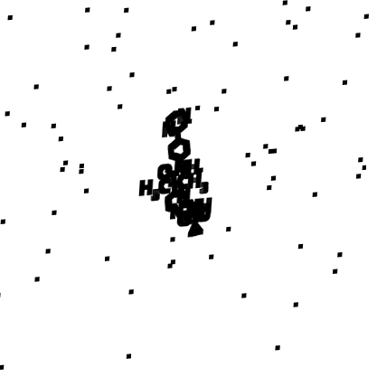 CC(C)(C(=O)Nc1ccc(-c2cnccn2)cc1)c1ccnc(NS(=O)(=O)C2CC2)n1